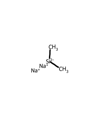 C[Si-2]C.[Na+].[Na+]